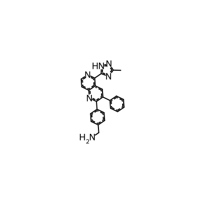 Cc1n[nH]c(-c2nccc3nc(-c4ccc(CN)cc4)c(-c4ccccc4)cc23)n1